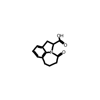 O=C(O)C1Cc2cccc3c2N1C(=O)CCC3